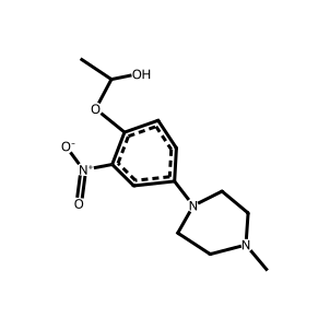 CC(O)Oc1ccc(N2CCN(C)CC2)cc1[N+](=O)[O-]